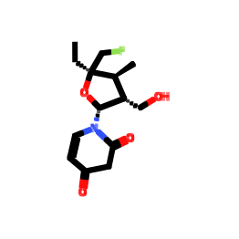 CC[C@@]1(CF)O[C@@H](N2C=CC(=O)CC2=O)[C@@H](CO)[C@@H]1C